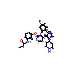 CCC(=O)Nc1cccc(Oc2nccc(-c3c(-c4ccc(F)cc4)ncn3C3CCNCC3)n2)c1